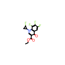 CCOC(=O)c1cn(C2CC2F)c2c(F)c(F)c(F)cc2c1=O